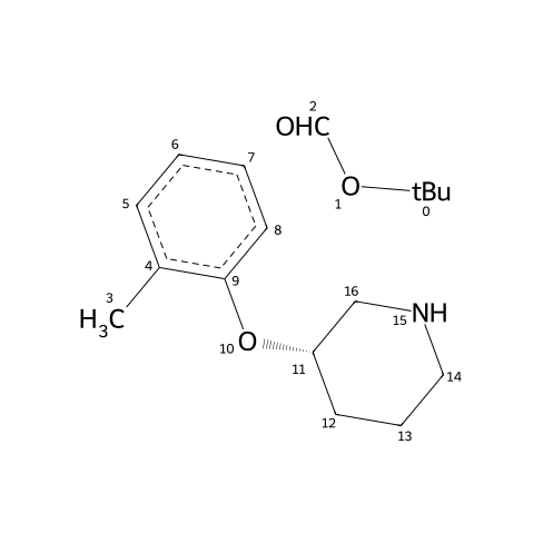 CC(C)(C)OC=O.Cc1ccccc1O[C@H]1CCCNC1